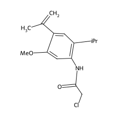 C=C(C)c1cc(C(C)C)c(NC(=O)CCl)cc1OC